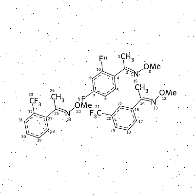 CO/N=C(\C)c1ccc(F)cc1F.CO/N=C(\C)c1cccc(C(F)(F)F)c1.CO/N=C(\C)c1ccccc1C(F)(F)F